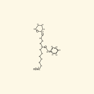 CCCCCCCCCCCCCCCCC(CCCOC1CCCCO1)OCc1ccccc1